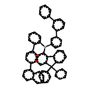 c1ccc(-c2cccc(-c3cccc(N(c4ccccc4-c4ccc(-c5cccc6ccccc56)cc4)c4cccc5c4-c4ccccc4C5(c4ccccc4)c4ccccc4)c3)c2)cc1